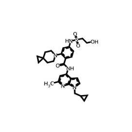 Cc1cc(NC(=O)c2ccc(NS(=O)(=O)CCO)cc2N2CCC3(CC2)CC3)c2ccn(CC3CC3)c2n1